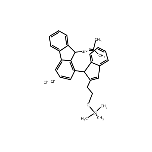 C[C](C)=[Zr+2][CH]1c2ccccc2-c2cccc(C3C(CCO[Si](C)(C)C)=Cc4ccccc43)c21.[Cl-].[Cl-]